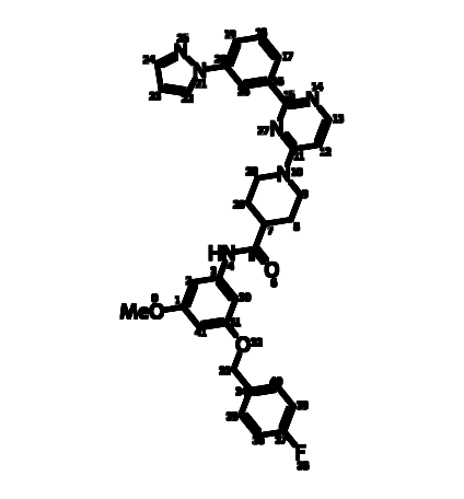 COc1cc(NC(=O)C2CCN(c3ccnc(-c4cccc(-n5cccn5)c4)n3)CC2)cc(OCc2ccc(F)cc2)c1